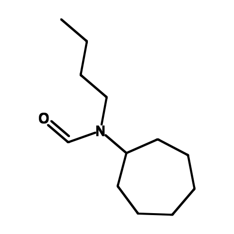 CCCCN(C=O)C1CCCCCC1